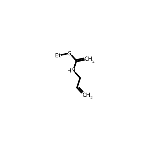 C=CCNC(=C)SCC